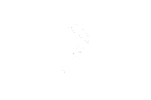 Cc1cc(S(=O)(=O)C2CC3(CCN(C)CC3)C2)ccc1Nc1ncc2ccc(=O)n(C3CCCC3)c2n1